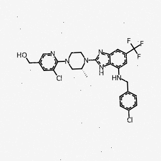 C[C@@H]1CN(c2ncc(CO)cc2Cl)CCN1c1nc2cc(C(F)(F)F)cc(NCc3ccc(Cl)cc3)c2[nH]1